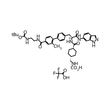 Cc1cc(C(=O)NCCNC(=O)OC(C)(C)C)ccc1-c1ccc(C[C@H](NC(=O)[C@H]2CC[C@H](CNC(=O)O)CC2)C(=O)Nc2ccc3cn[nH]c3c2)cc1.O=C(O)C(F)(F)F